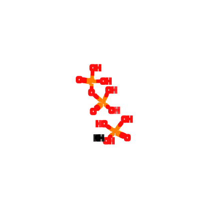 O=P(O)(O)O.O=P(O)(O)OP(=O)(O)O.[KH]